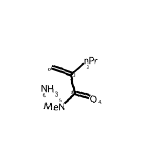 C=C(CCC)C(=O)NC.N